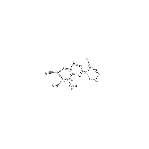 COc1cc(/C=C\C(=O)N2CCC=CC2=O)cc(OC)c1OC